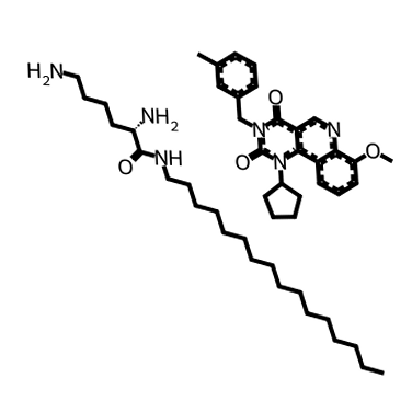 CCCCCCCCCCCCCCCCNC(=O)[C@@H](N)CCCCN.COc1cccc2c1ncc1c(=O)n(Cc3cccc(C)c3)c(=O)n(C3CCCC3)c12